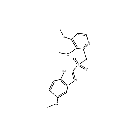 COc1ccc2[nH]c(S(=O)(=O)Cc3nccc(OC)c3OC)nc2c1